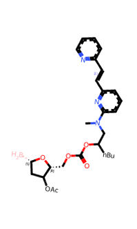 B[C@H]1CC(OC(C)=O)[C@@H](COC(=O)OC(CCCC)CN(C)c2cccc(/C=C/c3ccccn3)n2)O1